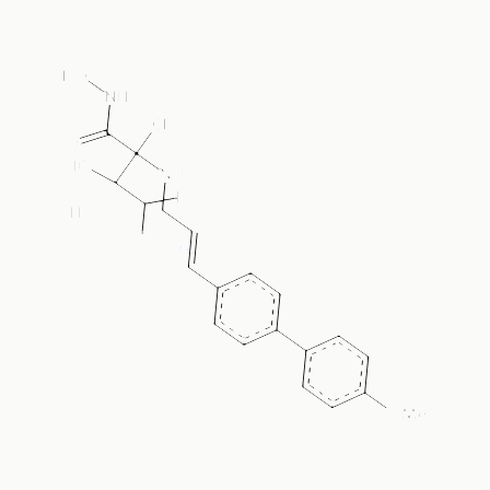 COc1ccc(-c2ccc(/C=C/CNC(C)(C(=O)NO)[C@](C)(O)C(F)F)cc2)cc1